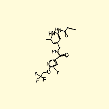 CCC(=O)NC1=CC(CNC(=O)c2cnc(OCC(F)(F)F)c(F)c2)=CC(C)N1